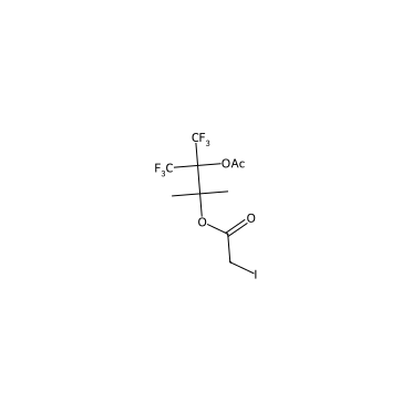 CC(=O)OC(C(F)(F)F)(C(F)(F)F)C(C)(C)OC(=O)CI